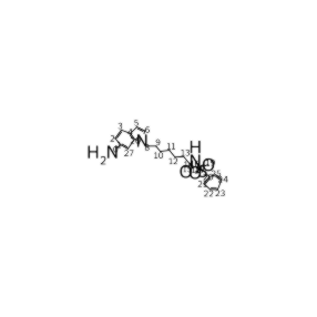 Nc1ccc2ccn(CCCCCCC(=O)NS(=O)(=O)c3ccccc3)c2c1